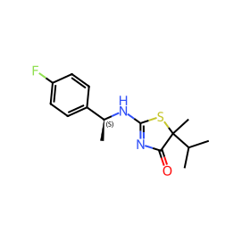 CC(C)C1(C)SC(N[C@@H](C)c2ccc(F)cc2)=NC1=O